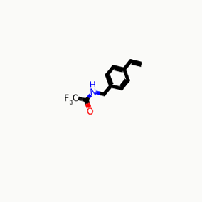 C=Cc1ccc(CNC(=O)C(F)(F)F)cc1